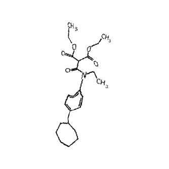 CCOC(=O)C(C(=O)OCC)C(=O)N(CC)c1ccc(C2CCCCCC2)cc1